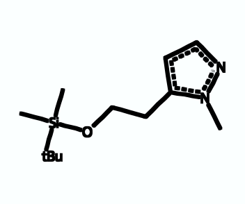 Cn1nccc1CCO[Si](C)(C)C(C)(C)C